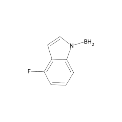 Bn1ccc2c(F)cccc21